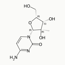 C[C@@]1(O)[C@@H](O)[C@@H](CO)O[C@H]1n1ccc(N)nc1=O